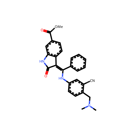 COC(=O)c1ccc2c(c1)NC(=O)/C2=C(\Nc1ccc(CN(C)C)c(C#N)c1)c1ccccc1